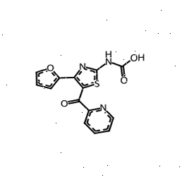 O=C(O)Nc1nc(-c2ccco2)c(C(=O)c2ccccn2)s1